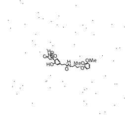 COc1cccc(OCCCCNC(=O)CCc2ccc(N3CC(=O)NS3(=O)=O)c(O)c2)c1OC